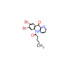 CCCCC(=O)Nc1cc(Br)c(Br)cc1C(=O)c1ccccn1